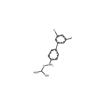 OC(O)O[SiH2]c1ccc(-c2cc(F)cc(F)c2)cc1